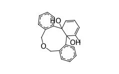 CC1=CC=CC2(O)c3ccccc3COCc3ccccc3C12O